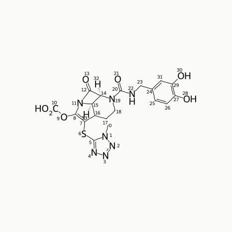 Cn1nnnc1SC1=C(OC(=O)O)N2C(=O)[C@@H]3[C@H]2C1CCN3C(=O)NCc1ccc(O)c(O)c1